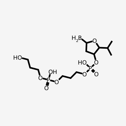 BC1CC(OP(=O)(O)OCCCOP(=O)(O)OCCCO)C(C(C)C)O1